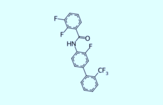 O=C(Nc1ccc(-c2ccccc2C(F)(F)F)cc1F)c1cccc(F)c1F